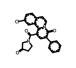 O=C1CCN(C(=O)c2cc(-c3ccccc3)c(=O)n3ccc4ccc(Cl)cc4c23)C1